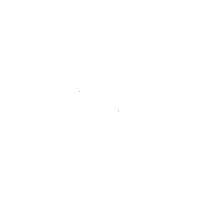 [CH2]CCc1c[nH]c2ccc(NS(=O)(=O)CC)cc12